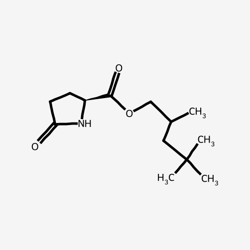 CC(COC(=O)[C@@H]1CCC(=O)N1)CC(C)(C)C